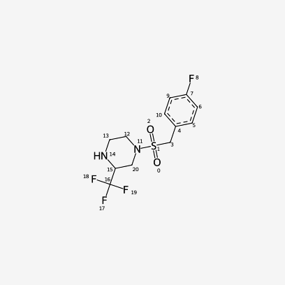 O=S(=O)(Cc1ccc(F)cc1)N1CCNC(C(F)(F)F)C1